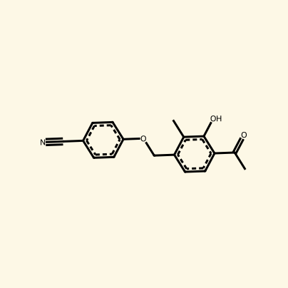 CC(=O)c1ccc(COc2ccc(C#N)cc2)c(C)c1O